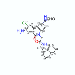 C[C@H](NC(=O)CN(C(=O)c1ccc(Cl)c(N)c1)c1ccc(NC=O)cc1)c1cccc2ccccc12